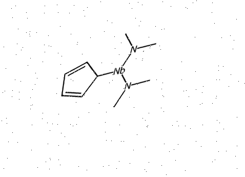 C[N](C)[Nb]([CH]1C=CC=C1)[N](C)C